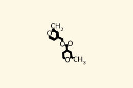 C=C1C=C(COC(=O)C2CCOC(C)C2)C=CO1